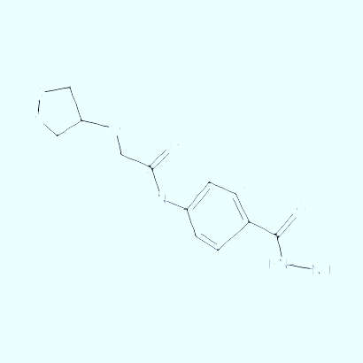 NNC(=O)c1ccc(NC(=O)COC2CSSC2)cc1